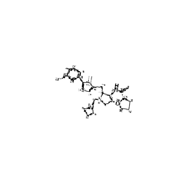 C=C(N[C@H]1CCN(CN2CCC2)[C@H]1CC1=CSC(c2cccc(F)c2)N1)[C@@H]1CCCO1